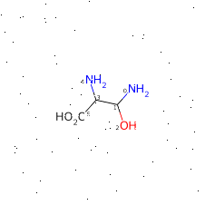 NC(O)C(N)C(=O)O